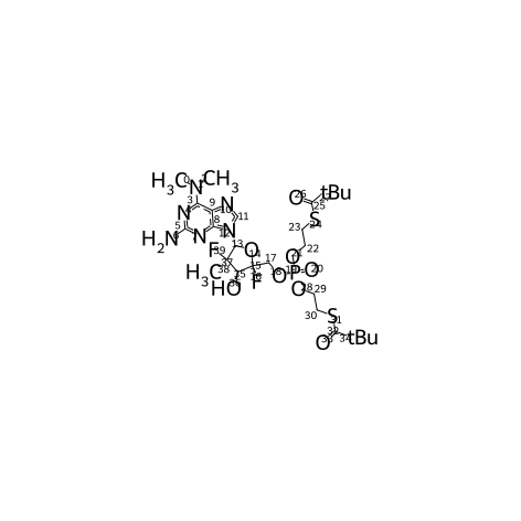 CN(C)c1nc(N)nc2c1ncn2[C@@H]1O[C@](F)(COP(=O)(OCCSC(=O)C(C)(C)C)OCCSC(=O)C(C)(C)C)[C@@H](O)[C@@]1(C)F